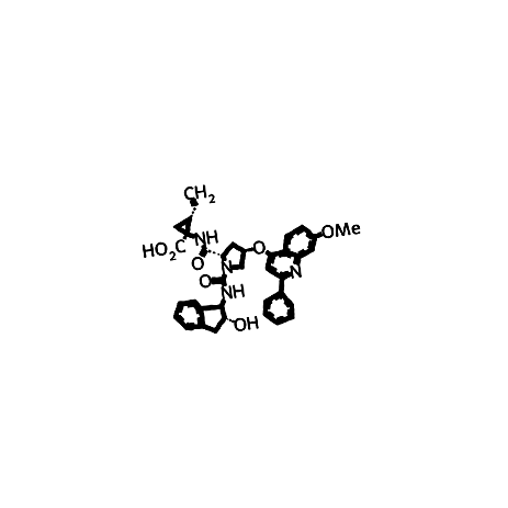 C=C[C@H]1C[C@]1(NC(=O)[C@@H]1C[C@@H](Oc2cc(-c3ccccc3)nc3cc(OC)ccc23)CN1C(=O)NC1c2ccccc2C[C@H]1O)C(=O)O